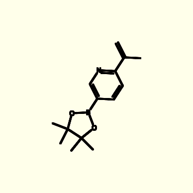 C=C(C)c1ccc(B2OC(C)(C)C(C)(C)O2)cn1